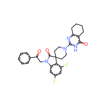 O=C(CN1C(=O)C2(CCN(c3nc4c(c(=O)[nH]3)CCCC4)CC2)c2c(F)cc(F)cc21)c1ccccc1